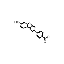 O=[N+]([O-])c1ccc(-c2cc3sc4cc(O)ccc4n3c2)cc1